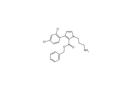 NCCCn1ccc(-c2ccc(Cl)cc2Cl)c1C(=O)OCc1ccccc1